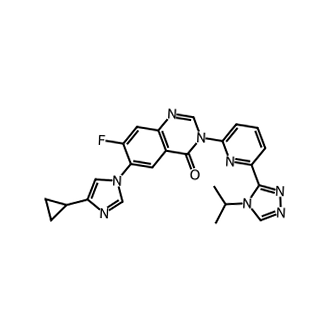 CC(C)n1cnnc1-c1cccc(-n2cnc3cc(F)c(-n4cnc(C5CC5)c4)cc3c2=O)n1